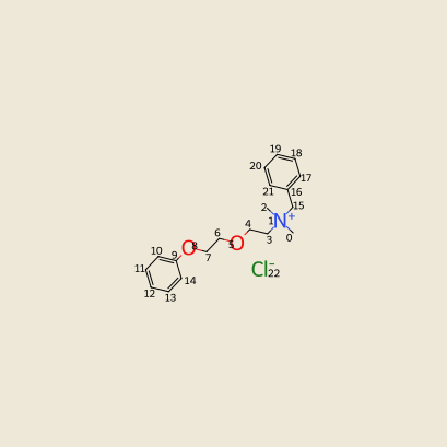 C[N+](C)(CCOCCOc1ccccc1)Cc1ccccc1.[Cl-]